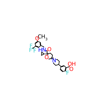 COc1cc(CNC(=O)[C@@]2(C3CC3)CC[C@@H](N3CCC(c4ccc(F)c(C(=O)O)c4)CC3)CO2)cc(C(F)(F)F)c1